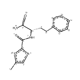 Cc1cnc(C(=O)N[C@@H](CCc2ccccc2)C(N)=O)s1